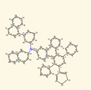 C1=CC(c2cc(-c3ccccc3)c3c4ccccc4c4cc(N(c5cccc(-c6cccc7ccccc67)c5)c5ccc6ccccc6c5)ccc4c3c2-c2ccccc2)=CCC1